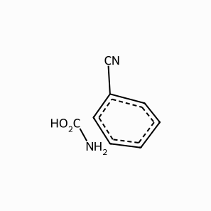 N#Cc1ccccc1.NC(=O)O